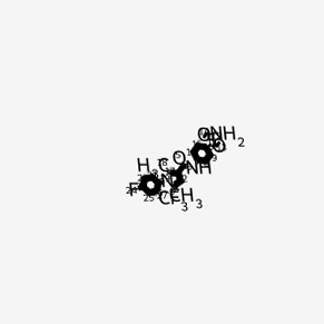 Cc1cc(C(=O)Nc2ccc(S(N)(=O)=O)cc2)c(C)n1-c1ccc(F)cc1C(F)(F)F